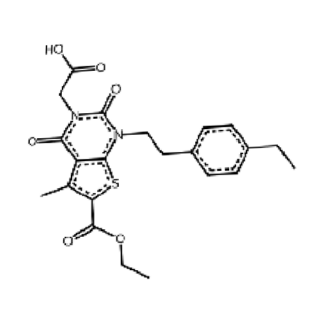 CCOC(=O)c1sc2c(c1C)c(=O)n(CC(=O)O)c(=O)n2CCc1ccc(CC)cc1